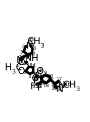 CO[C@@H]1C[C@H](S(=O)(=O)c2ccc(-c3cnn(C)c3)cc2C(F)(F)F)C[C@H]1C(=O)NC1(C#N)CCN(C)CC1